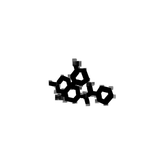 CN1CCC2(c3cccc(O)c3)C[C@@H](N(C)C(=O)c3ccccc3)CCC2(O)C1